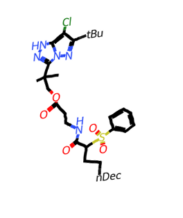 CCCCCCCCCCCCC(C(=O)NCCC(=O)OCC(C)(C)c1n[nH]c2c(Cl)c(C(C)(C)C)nn12)S(=O)(=O)c1ccccc1